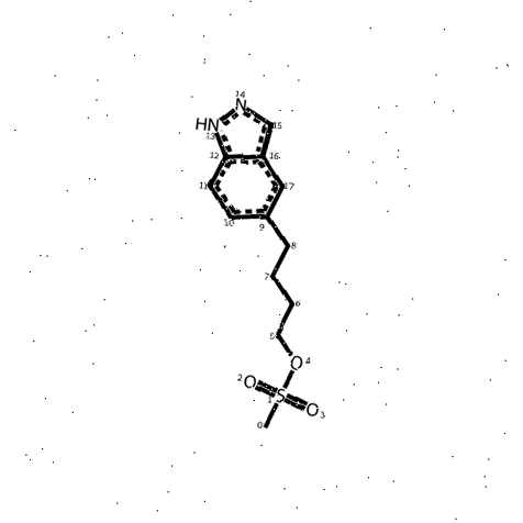 CS(=O)(=O)OCCCCc1ccc2[nH]ncc2c1